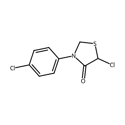 O=C1C(Cl)SCN1c1ccc(Cl)cc1